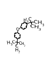 CC(C)(C)c1ccc(Oc2ccc(C(C)(C)C)cc2)cc1